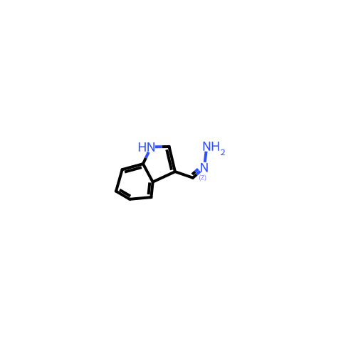 N/N=C\c1c[nH]c2ccccc12